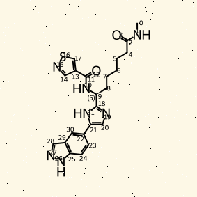 CNC(=O)CCCCC[C@H](NC(=O)c1cnsc1)c1ncc(-c2ccc3[nH]ncc3c2)[nH]1